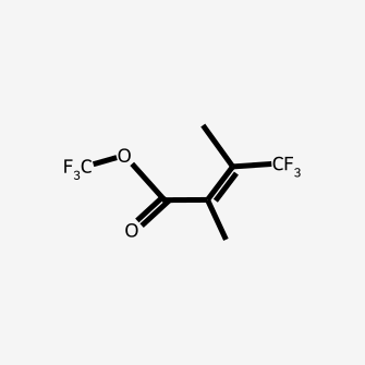 CC(C(=O)OC(F)(F)F)=C(C)C(F)(F)F